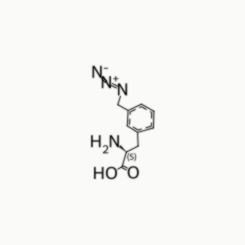 [N-]=[N+]=NCc1cccc(C[C@H](N)C(=O)O)c1